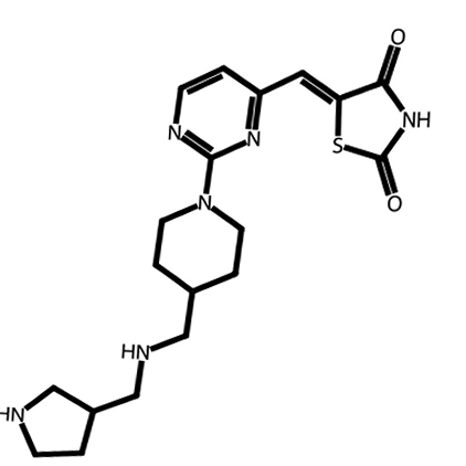 O=C1NC(=O)C(=Cc2ccnc(N3CCC(CNCC4CCNC4)CC3)n2)S1